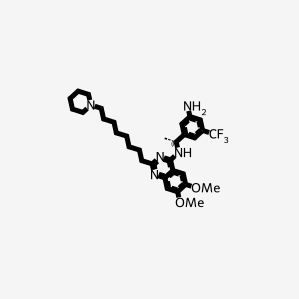 COc1cc2nc(CCCCCCCCN3CCCCC3)nc(N[C@H](C)c3cc(N)cc(C(F)(F)F)c3)c2cc1OC